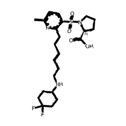 Cc1ccc(S(=O)(=O)N2CCC[C@H]2C(=O)O)c(CCCCCCNC2CCC(F)(F)CC2)n1